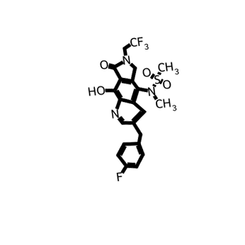 CN(c1c2c(c(O)c3ncc(Cc4ccc(F)cc4)cc13)C(=O)N(CC(F)(F)F)C2)S(C)(=O)=O